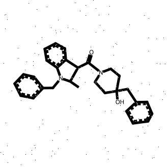 CC1C(C(=O)N2CCC(O)(Cc3ccccc3)CC2)c2ccccc2N1Cc1ccccc1